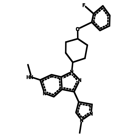 CNc1cc2c(cn1)c(-c1cnn(C)c1)nn2C1CCC(Oc2ccccc2F)CC1